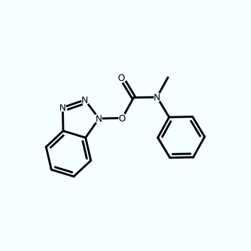 CN(C(=O)On1nnc2ccccc21)c1ccccc1